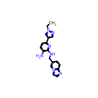 CCn1cc(-c2ccc(N)c(NCc3ccc4nccn4c3)n2)cn1